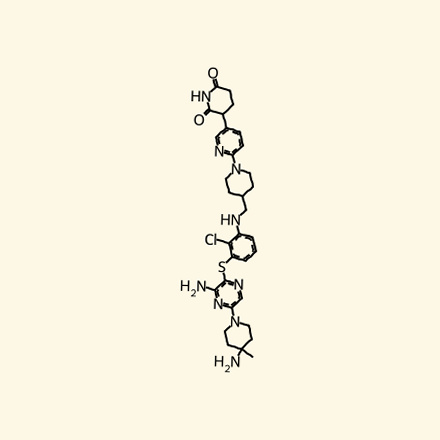 CC1(N)CCN(c2cnc(Sc3cccc(NCC4CCN(c5ccc(C6CCC(=O)NC6=O)cn5)CC4)c3Cl)c(N)n2)CC1